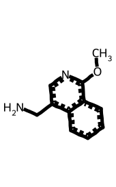 COc1ncc(CN)c2ccccc12